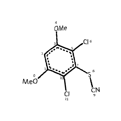 COc1cc(OC)c(Cl)c(SC#N)c1Cl